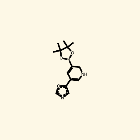 CC1(C)OB(C2=CC(c3cnco3)=CNC2)OC1(C)C